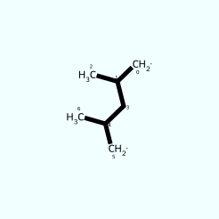 [CH2]C(C)CC([CH2])C